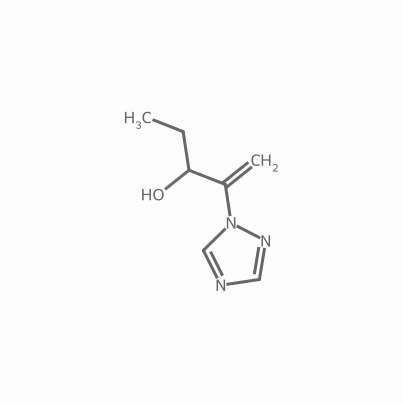 C=C(C(O)CC)n1cncn1